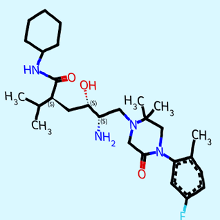 Cc1ccc(F)cc1N1CC(C)(C)N(C[C@H](N)[C@@H](O)C[C@H](C(=O)NC2CCCCC2)C(C)C)CC1=O